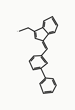 [CH2]CC1=CC(=Cc2cccc(-c3ccccc3)c2)c2ccccc21